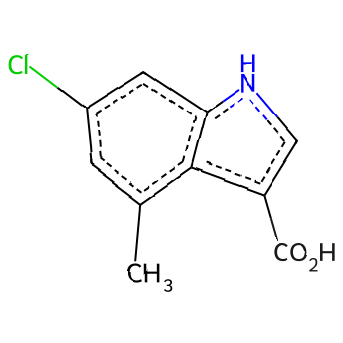 Cc1cc(Cl)cc2[nH]cc(C(=O)O)c12